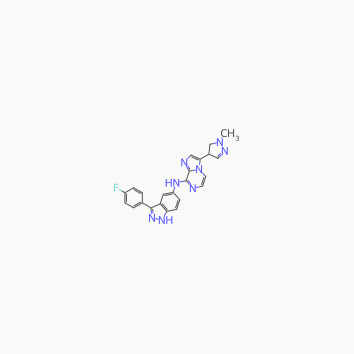 CN1CC(c2cnc3c(Nc4ccc5[nH]nc(-c6ccc(F)cc6)c5c4)nccn23)C=N1